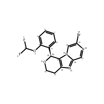 FC(F)Oc1ccccc1[C@@H]1OCCc2nc3cnc(Br)cn3c21